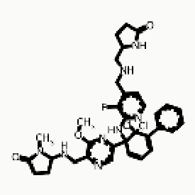 COc1nc(C2(Nc3nccc(CNCC4CCC(=O)N4)c3F)C=CC=C(c3ccccc3)C2(Cl)Cl)cnc1CNC1CCC(=O)N1C